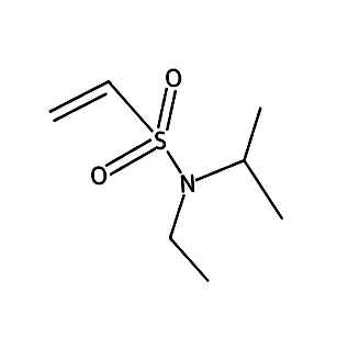 C=CS(=O)(=O)N(CC)C(C)C